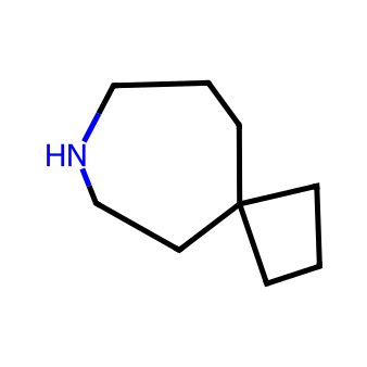 C1CNCCC2(C1)CCC2